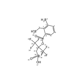 BCc1c(B)cccc1C(=O)OC(CS(=O)(=O)O)(C(F)(F)F)C(F)(F)F